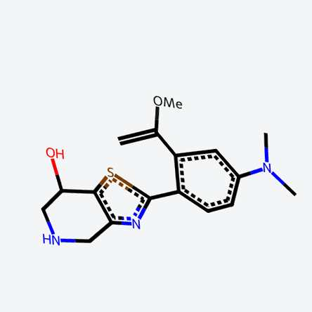 C=C(OC)c1cc(N(C)C)ccc1-c1nc2c(s1)C(O)CNC2